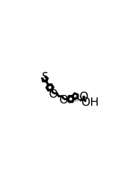 O=C(O)C[C@@H]1CCc2cc(OCCCOc3ccc(-c4ccsc4)cc3)ccc21